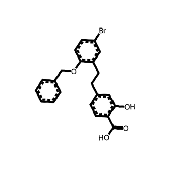 O=C(O)c1ccc(CCc2cc(Br)ccc2OCc2ccccc2)cc1O